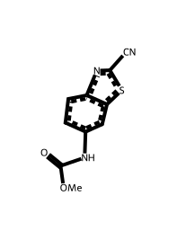 COC(=O)Nc1ccc2nc(C#N)sc2c1